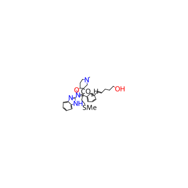 CSCC[C@@](C(=O)O)(c1cccc(C=CCCCO)c1)N(OC1CCN(C)CC1)c1nc2ccccc2[nH]1